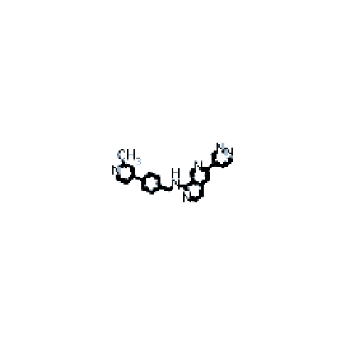 Cc1cc(-c2ccc(CNc3nccc4cc(-c5ccnnc5)ncc34)cc2)ccn1